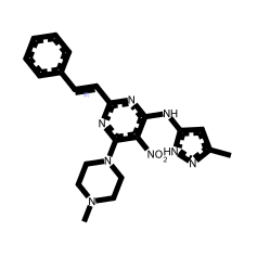 Cc1cc(Nc2nc(/C=C/c3ccccc3)nc(N3CCN(C)CC3)c2[N+](=O)[O-])[nH]n1